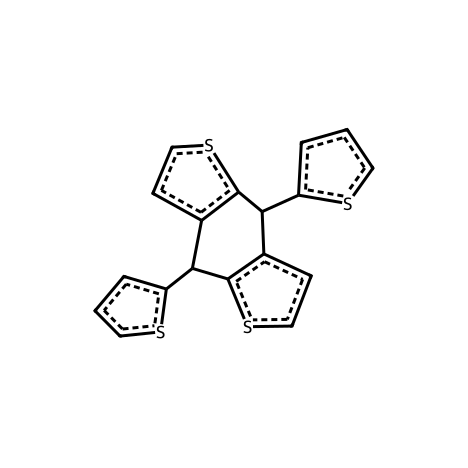 c1csc(C2c3ccsc3C(c3cccs3)c3ccsc32)c1